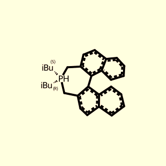 CC[C@@H](C)[PH]1([C@@H](C)CC)Cc2ccc3ccccc3c2-c2c(ccc3ccccc23)C1